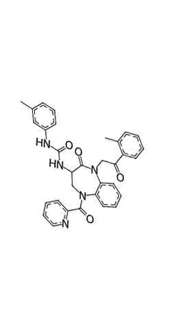 Cc1cccc(NC(=O)NC2CN(C(=O)c3ccccn3)c3ccccc3N(CC(=O)c3ccccc3C)C2=O)c1